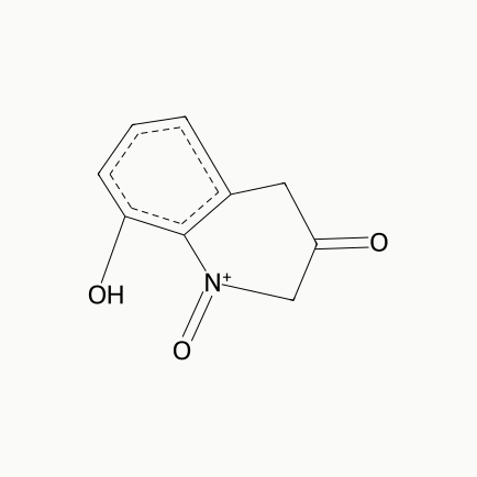 O=C1Cc2cccc(O)c2[N+](=O)C1